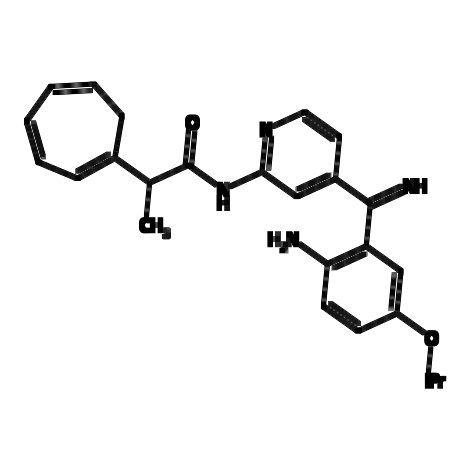 CC(C)Oc1ccc(N)c(C(=N)c2ccnc(NC(=O)C(C)C3=CC=CC=CC3)c2)c1